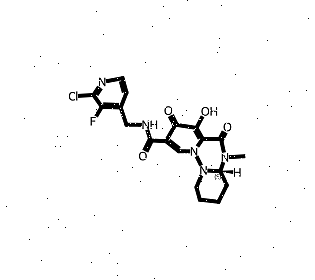 CN1C(=O)c2c(O)c(=O)c(C(=O)NCc3ccnc(Cl)c3F)cn2N2CCCC[C@@H]12